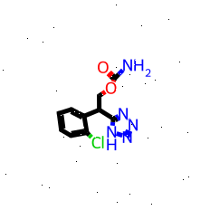 NC(=O)OCC(c1nnn[nH]1)c1ccccc1Cl